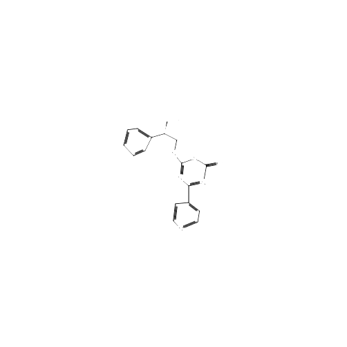 C[C@@H](CNc1nc(-c2ccncc2)nc(=O)[nH]1)c1ccccc1